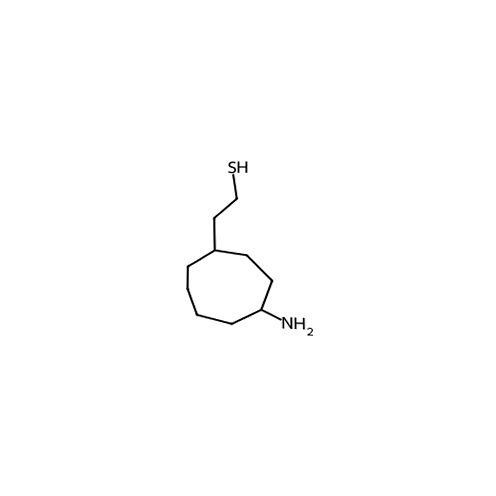 NC1CCCCC(CCS)CC1